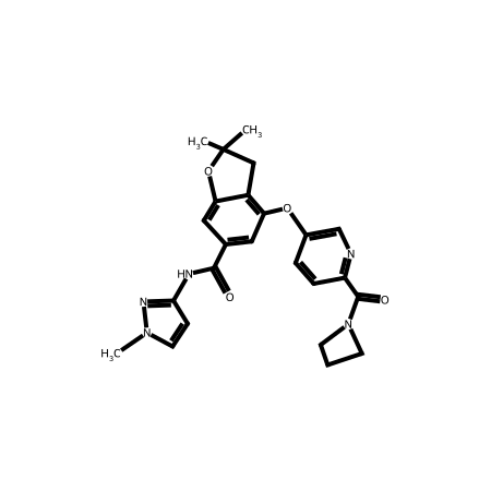 Cn1ccc(NC(=O)c2cc(Oc3ccc(C(=O)N4CCC4)nc3)c3c(c2)OC(C)(C)C3)n1